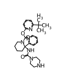 CC(C)(C)c1cccc(OC(=O)N2CCCCC2(NC(=O)N2CCNCC2)c2ccccn2)n1